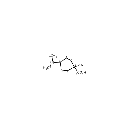 CN(C)C1CCC(C#N)(C(=O)O)CC1